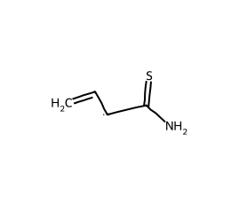 C=C[CH]C(N)=S